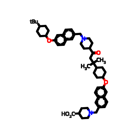 CC(C)(C)C1CCC(Oc2ccc3cc(CN4CCC(C(=O)CC(C)(C)C5CCC(Oc6ccc7cc(CN8CCC(C(=O)O)CC8)ccc7c6)CC5)CC4)ccc3c2)CC1